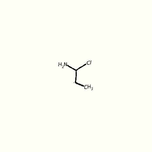 C[CH]C(N)Cl